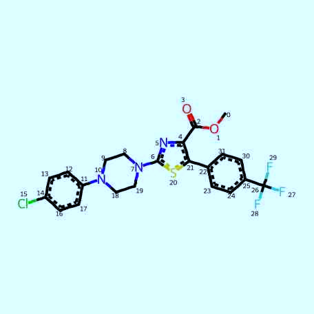 COC(=O)c1nc(N2CCN(c3ccc(Cl)cc3)CC2)sc1-c1ccc(C(F)(F)F)cc1